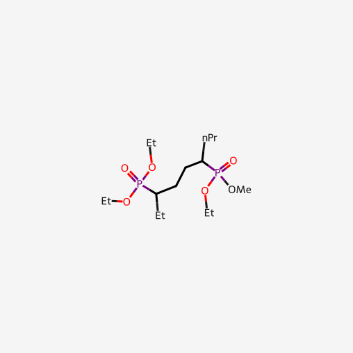 CCCC(CCC(CC)P(=O)(OCC)OCC)P(=O)(OC)OCC